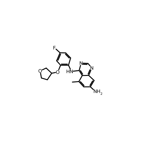 Cc1cc(N)cc2ncnc(Nc3ccc(F)cc3OC3CCOC3)c12